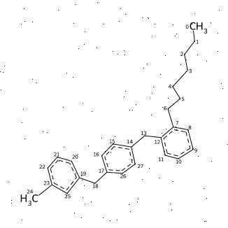 CCCCCCCc1ccccc1Cc1ccc(Cc2cccc(C)c2)cc1